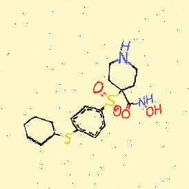 O=C(NO)C1(S(=O)(=O)c2ccc(SC3CCCCC3)cc2)CCNCC1